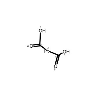 O=[C](O)[Pt][C](=O)O